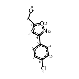 [O]Cc1nc(-c2ccc(Cl)cc2)no1